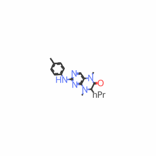 CCCC1C(=O)N(C)c2cnc(Nc3ccc(C)cc3)nc2N1C